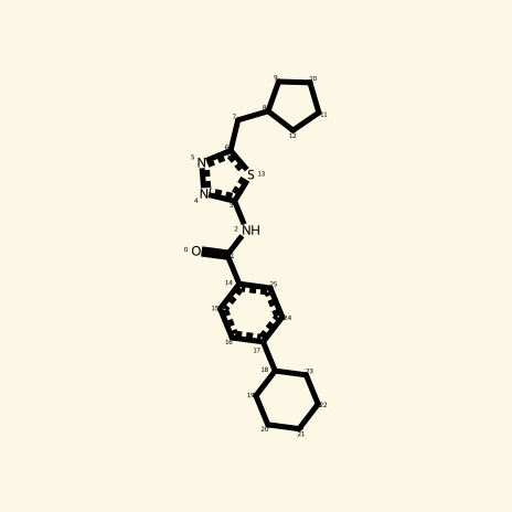 O=C(Nc1nnc(CC2CCCC2)s1)c1ccc(C2CC[CH]CC2)cc1